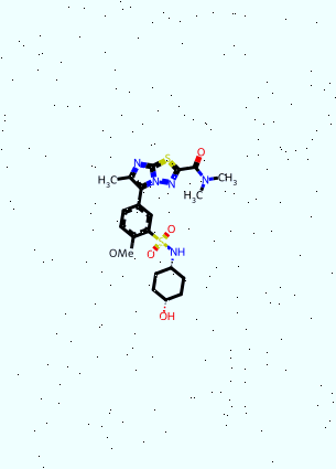 COc1ccc(-c2c(C)nc3sc(C(=O)N(C)C)nn23)cc1S(=O)(=O)N[C@H]1CC[C@@H](O)CC1